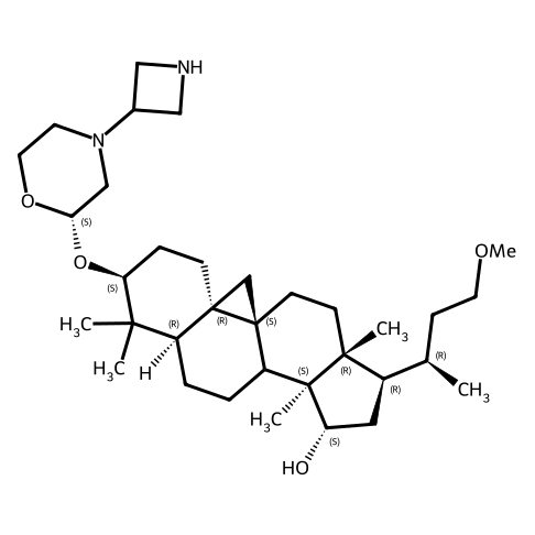 COCC[C@@H](C)[C@H]1C[C@H](O)[C@@]2(C)C3CC[C@H]4C(C)(C)[C@@H](O[C@H]5CN(C6CNC6)CCO5)CC[C@@]45C[C@@]35CC[C@]12C